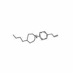 C=CCc1ccc(N2CCC(CCCC)CC2)cc1